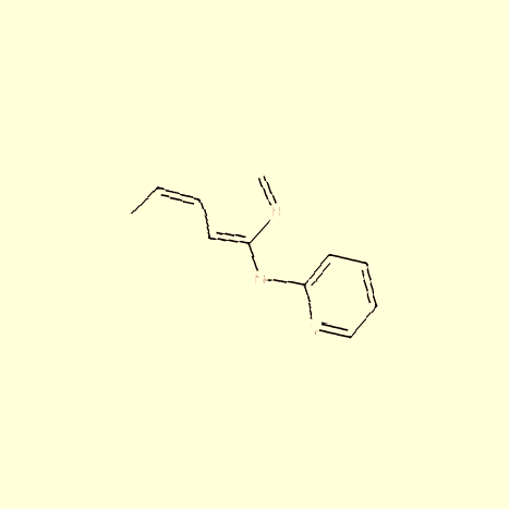 C=N/C(=C\C=C/C)Nc1ccccn1